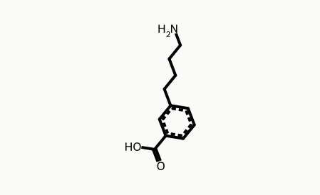 NCCCCc1cccc(C(=O)O)c1